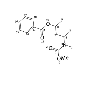 COC(=O)N(C)C(C)CC(C)OC(=O)c1ccccc1